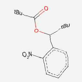 CC(C)(C)C(=O)OC(c1ccccc1[N+](=O)[O-])C(C)(C)C